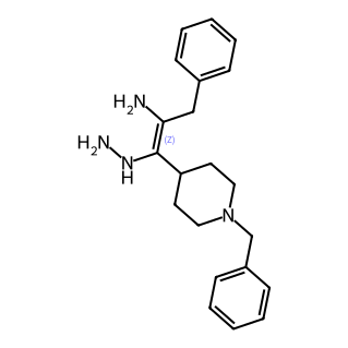 NN/C(=C(\N)Cc1ccccc1)C1CCN(Cc2ccccc2)CC1